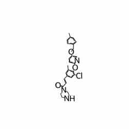 Cc1ccc(COc2ccc(Oc3c(C)cc(/C=C/C(=O)N4CCN[C@@H](C)C4)cc3Cl)nc2)cc1